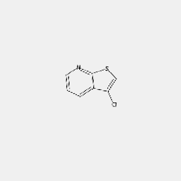 Clc1csc2ncccc12